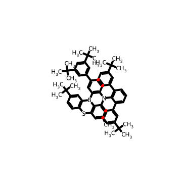 Cc1cc2c3c(c1)N(c1c(-c4cccc(C(C)(C)C)c4)cccc1-c1cccc(C(C)(C)C)c1)c1ccc(-c4cc(C(C)(C)C)cc(C(C)(C)C)c4)cc1B3c1cc(C(C)(C)C)ccc1S2